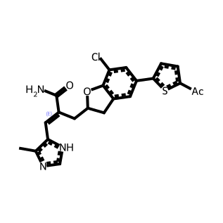 CC(=O)c1ccc(-c2cc(Cl)c3c(c2)CC(C/C(=C\c2[nH]cnc2C)C(N)=O)O3)s1